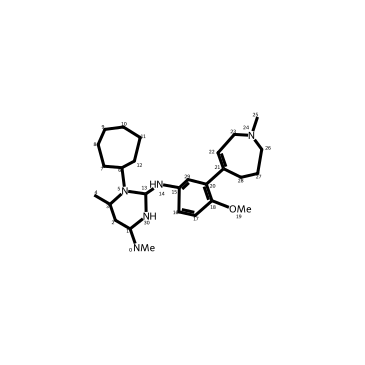 CNC1CC(C)N(C2CCCCCC2)C(Nc2ccc(OC)c(C3=CCN(C)CCC3)c2)N1